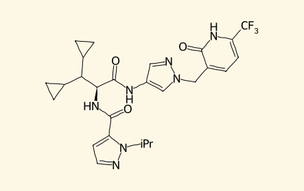 CC(C)n1nccc1C(=O)N[C@H](C(=O)Nc1cnn(Cc2ccc(C(F)(F)F)[nH]c2=O)c1)C(C1CC1)C1CC1